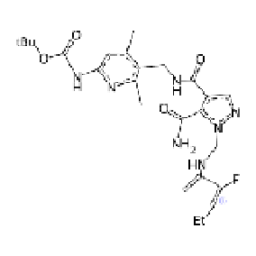 C=C(NCn1ncc(C(=O)NCc2c(C)cc(NC(=O)OC(C)(C)C)nc2C)c1C(N)=O)/C(F)=C\CC